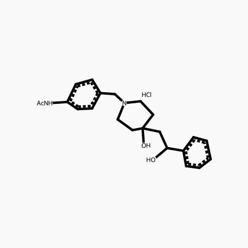 CC(=O)Nc1ccc(CN2CCC(O)(CC(O)c3ccccc3)CC2)cc1.Cl